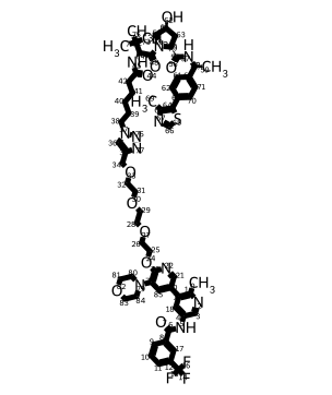 Cc1ncc(NC(=O)c2cccc(C(F)(F)F)c2)cc1-c1cnc(OCCOCCOCCOCc2cn(CCCCCC(=O)N[C@@H](C(=O)N3C[C@@H](O)C[C@@H]3C(=O)N[C@@H](C)c3ccc(-c4scnc4C)cc3)C(C)(C)C)nn2)c(N2CCOCC2)c1